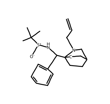 C=CCN1CC2CCC1(C(N[S+]([O-])C(C)(C)C)c1ccccc1)CC2